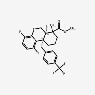 COC(=O)C1(C)CCC[C@@]2(Cc3ccc(C(F)(F)F)cc3)c3c(F)ccc(F)c3OC[C@@H]12